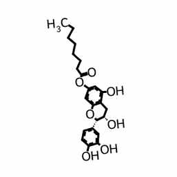 CCCCCCCC(=O)Oc1cc(O)c2c(c1)O[C@@H](c1ccc(O)c(O)c1)[C@@H](O)C2